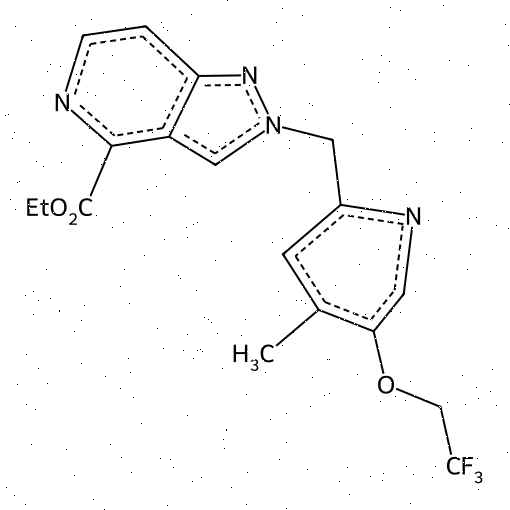 CCOC(=O)c1nccc2nn(Cc3cc(C)c(OCC(F)(F)F)cn3)cc12